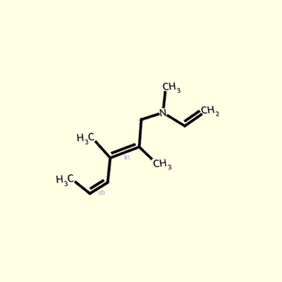 C=CN(C)C/C(C)=C(C)/C=C\C